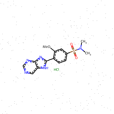 COc1cc(S(=O)(=O)N(C)C)ccc1-c1nc2ncncc2[nH]1.Cl